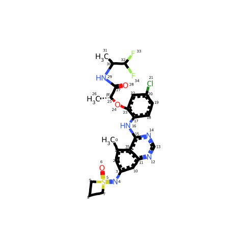 Cc1cc(N=S2(=O)CCC2)cc2ncnc(Nc3ccc(Cl)cc3O[C@H](C)C(=O)NC(C)C(F)F)c12